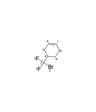 FC(F)(Br)C1CC=CCC1